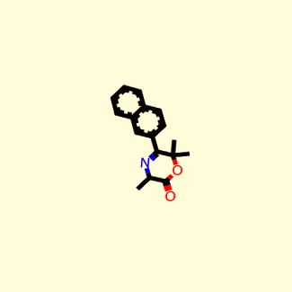 CC1N=C(c2ccc3ccccc3c2)C(C)(C)OC1=O